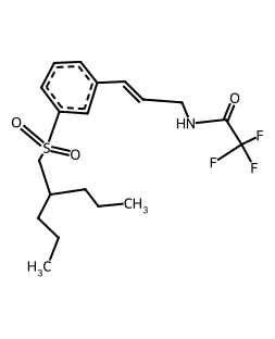 CCCC(CCC)CS(=O)(=O)c1cccc(C=CCNC(=O)C(F)(F)F)c1